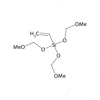 C=C[Si](OCOC)(OCOC)OCOC